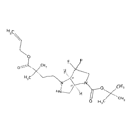 C=CCOC(=O)C(C)(C)CCN1NC[C@H]2[C@@H]1C(F)(F)CN2C(=O)OC(C)(C)C